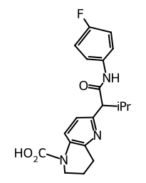 CC(C)C(C(=O)Nc1ccc(F)cc1)c1ccc2c(n1)CCCN2C(=O)O